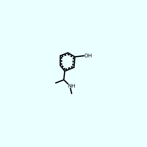 CNC(C)c1cccc(O)c1